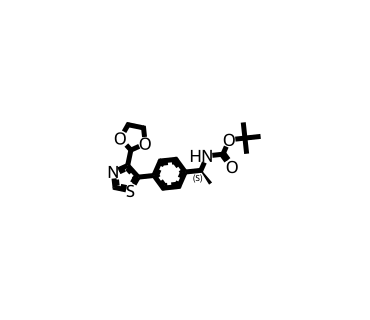 C[C@H](NC(=O)OC(C)(C)C)c1ccc(-c2scnc2C2OCCO2)cc1